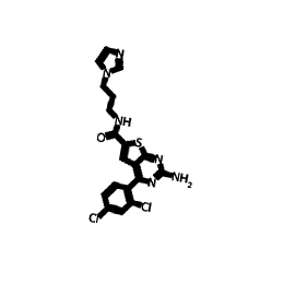 Nc1nc(-c2ccc(Cl)cc2Cl)c2cc(C(=O)NCCCn3ccnc3)sc2n1